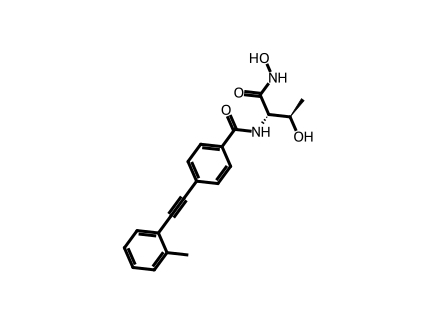 Cc1ccccc1C#Cc1ccc(C(=O)N[C@H](C(=O)NO)[C@@H](C)O)cc1